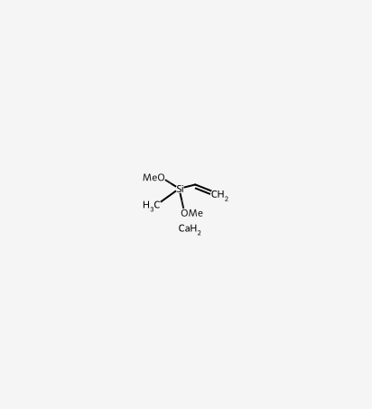 C=C[Si](C)(OC)OC.[CaH2]